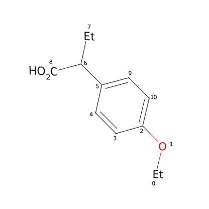 CCOc1ccc(C(CC)C(=O)O)cc1